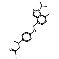 Cc1ccc(COc2ccc(C(C)CC(=O)O)cc2)c2cnn(C(C)C)c12